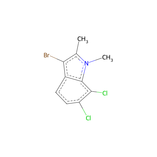 Cc1c(Br)c2ccc(Cl)c(Cl)c2n1C